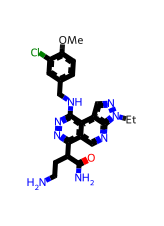 CCn1ncc2c3c(NCc4ccc(OC)c(Cl)c4)nnc(C(CCN)C(N)=O)c3cnc21